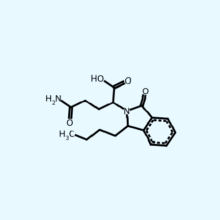 CCCCC1c2ccccc2C(=O)N1C(CCC(N)=O)C(=O)O